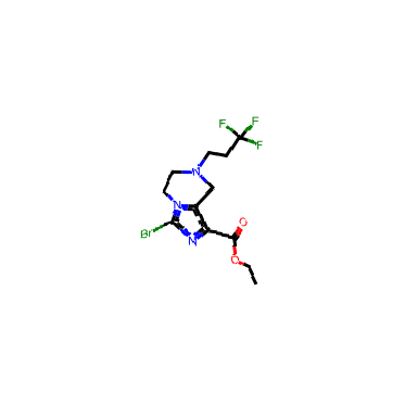 CCOC(=O)c1nc(Br)n2c1CN(CCC(F)(F)F)CC2